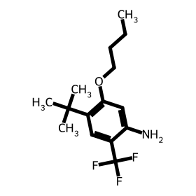 CCCCOc1cc(N)c(C(F)(F)F)cc1C(C)(C)C